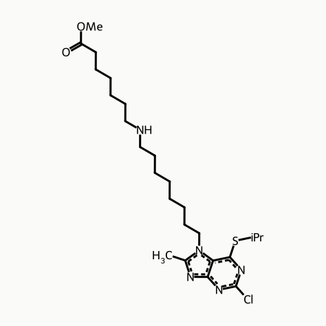 COC(=O)CCCCCCNCCCCCCCCn1c(C)nc2nc(Cl)nc(SC(C)C)c21